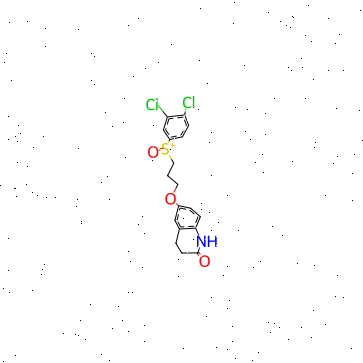 O=C1CCc2cc(OCCC[S+]([O-])c3ccc(Cl)c(Cl)c3)ccc2N1